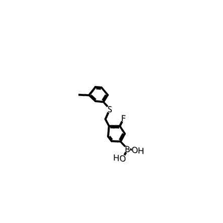 Cc1cccc(SCc2ccc(B(O)O)cc2F)c1